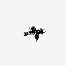 Cn1cc(-c2cc3c(cc2Oc2ccc(F)cc2F)n(C)c(=O)n3C)c2cnn(COCC[Si](C)(C)C)c2c1=O